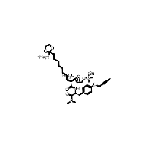 CC#CCOc1ccc(C[C@H](NC(=O)[C@@H](/C=C/CCCCCCC2(CCCCCCC)OCCO2)[C@@](O)(CCO[Si](C)(C)C(C)(C)C)C(=O)O)C(=O)N(C)C)cc1